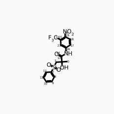 CC(O)(CS(=O)(=O)c1ccccc1)C(=O)Nc1ccc([N+](=O)[O-])c(C(F)(F)F)c1